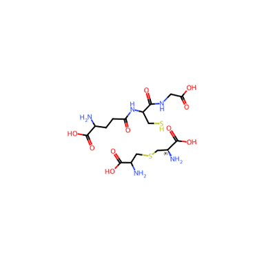 NC(CCC(=O)NC(CS)C(=O)NCC(=O)O)C(=O)O.NC(CSC[C@H](N)C(=O)O)C(=O)O